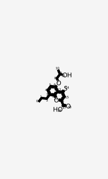 CCCc1ccc(OCC(C)O)c2c(=S)cc(C(=O)O)oc12